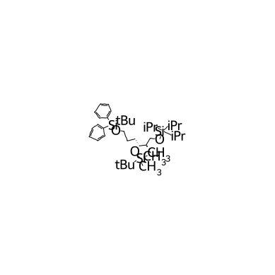 CC(C)[Si](OC[C@@H](C)[C@@H](CCCO[Si](c1ccccc1)(c1ccccc1)C(C)(C)C)O[Si](C)(C)C(C)(C)C)(C(C)C)C(C)C